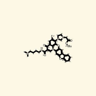 CN(C)CCCCNC(=O)c1cn2c3c(c(N4CCN(CC(=O)OC(C)(C)C)C4)c(F)cc3c1=O)Oc1cc3c(cc1-2)oc1ccccc13